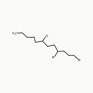 CCCCCC(Cl)CCC(Br)CCCBr